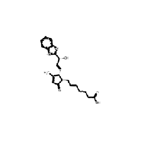 CC1=CC(=O)[C@H](CC=CCCCC(=O)O)[C@H]1C=C[C@@H](O)c1nc2ccccc2[nH]1